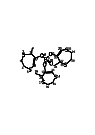 CC1SCCSC=C1OP(=O)(OC1=CSCCSC1C)OC1=CSCCSC1C